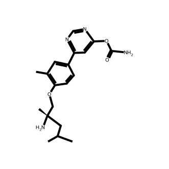 Cc1cc(-c2cc(OC(N)=O)ncn2)ccc1OC[C@@](C)(N)CC(C)C